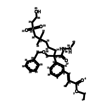 CCOC(=O)/C(C)=C/c1cccc(C(CCCC(C)(C)CS(=O)(=O)CCO)(COCc2ccccc2)C(=O)NNC)c1